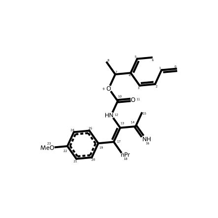 C=C/C=C\C(=C/C)C(C)OC(=O)N/C(C(C)=N)=C(/CCC)c1ccc(OC)cc1